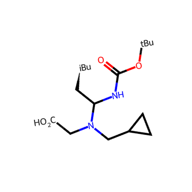 CC[C@H](C)CC(NC(=O)OC(C)(C)C)N(CC(=O)O)CC1CC1